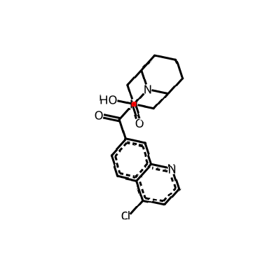 O=C(c1ccc2c(Cl)ccnc2c1)N1CC2CCCC(C1)N2C(=O)O